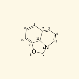 C1=CC2=CC=CN3COC(=C1)C23